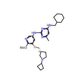 COc1ncc(Nc2nc(C)cc(NCC3CCCCC3)n2)cc1OC[C@@H]1CCN(C2CCC2)C1